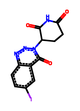 O=C1CCC(n2nnc3ccc(I)cc3c2=O)C(=O)N1